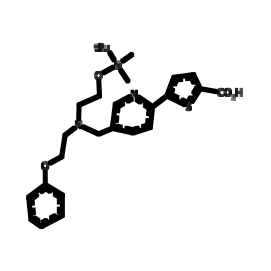 CC(C)(C)[Si](C)(C)OCCN(CCOc1ccccc1)Cc1ccc(-c2ccc(C(=O)O)s2)nc1